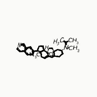 CC(C)N(C)[C@@H]1CCC2=CC3=CCC4(C)C(c5ccc6ccncc6c5)CC[C@H]4[C@@]34CC[C@]2(C1)O4